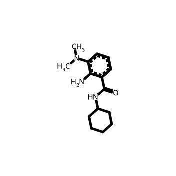 CN(C)c1cccc(C(=O)NC2CCCCC2)c1N